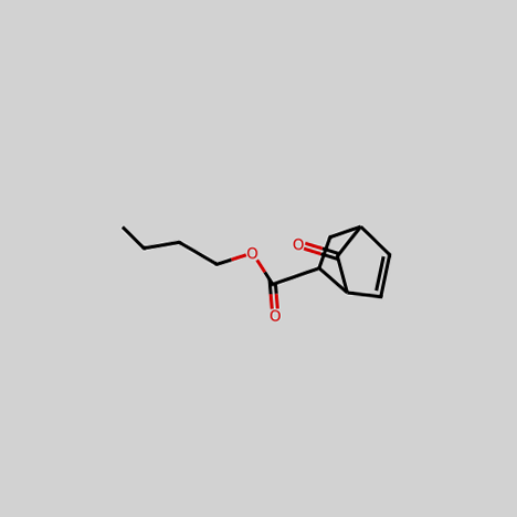 CCCCOC(=O)C1CC2C=CC1C2=O